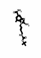 Cc1cc(C(N)=O)cc2nc(N)n(C/C=C/CNC(=O)OC(C)(C)C)c12